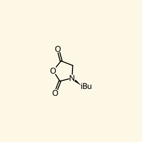 CC[C@H](C)N1CC(=O)OC1=O